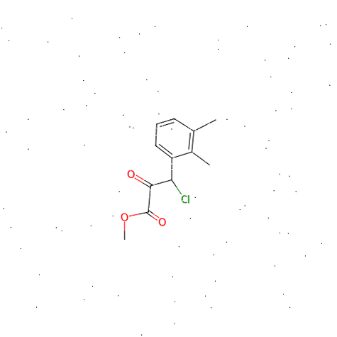 COC(=O)C(=O)C(Cl)c1cccc(C)c1C